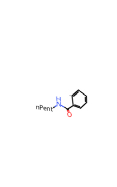 CCCCCNC(=O)c1[c]cccc1